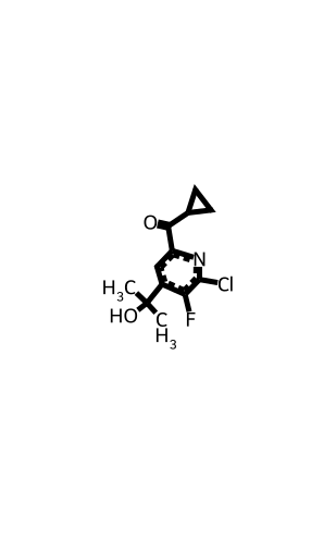 CC(C)(O)c1cc(C(=O)C2CC2)nc(Cl)c1F